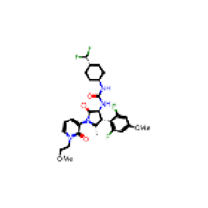 COCCn1cccc(N2C(=O)[C@@H](NC(=O)N[C@H]3CC[C@H](C(F)F)CC3)[C@H](c3c(F)cc(OC)cc3F)[C@@H]2C)c1=O